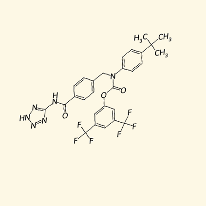 CC(C)(C)c1ccc(N(Cc2ccc(C(=O)Nc3nn[nH]n3)cc2)C(=O)Oc2cc(C(F)(F)F)cc(C(F)(F)F)c2)cc1